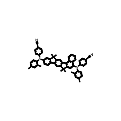 Cc1ccc(N(c2ccc(C#N)cc2)c2ccc3c(c2)C(C)(C)c2cc4c(cc2-3)C(C)(C)c2cc(N(c3ccc(C#N)cc3)c3ccc(C)cc3C)c3ccccc3c2-4)c(C)c1